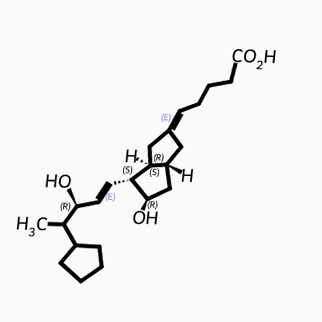 CC(C1CCCC1)[C@@H](O)/C=C/[C@@H]1[C@H]2C/C(=C/CCCC(=O)O)C[C@@H]2C[C@H]1O